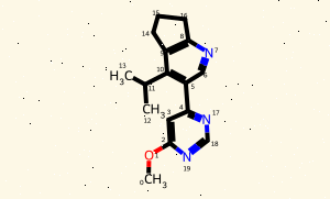 COc1cc(-c2cnc3c(c2C(C)C)CCC3)ncn1